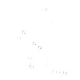 CCOC(CCC(=O)O)=NN1C(c2cccc(C(F)(F)F)c2)=NOC1(C)C